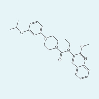 CCN(C(=O)N1CCN(c2cccc(OC(C)C)c2)CC1)c1cc2ccccc2nc1OC